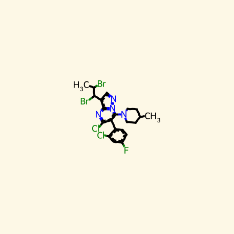 CC1CCN(c2c(-c3ccc(F)cc3Cl)c(Cl)nc3c(C(Br)C(C)Br)cnn23)CC1